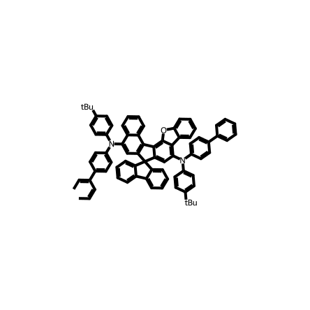 C/C=C\C(=C/C)c1ccc(N(c2ccc(C(C)(C)C)cc2)c2cc3c(c4ccccc24)-c2c(cc(N(c4ccc(-c5ccccc5)cc4)c4ccc(C(C)(C)C)cc4)c4c2oc2ccccc24)C32c3ccccc3-c3ccccc32)cc1